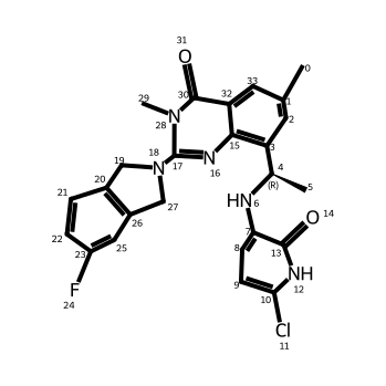 Cc1cc([C@@H](C)Nc2ccc(Cl)[nH]c2=O)c2nc(N3Cc4ccc(F)cc4C3)n(C)c(=O)c2c1